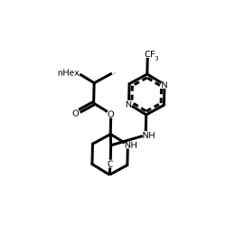 [CH2]C(CCCCCC)C(=O)OC12CCC(CN1)CC2Nc1cnc(C(F)(F)F)cn1